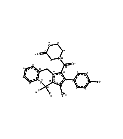 Cc1c(-c2ccc(Cl)cc2)c(C(=O)N2CCOC(=O)C2)n(Cc2ccccc2)c1C(F)(F)F